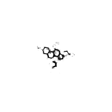 BO[C@H]1CC[C@@]2(C)C(=C[C@@H](c3ccc(C)o3)[C@]3(B)C2[C@H](OB)C[C@]2(C)[C@]4(CCC(=O)O4)CC[C@]23B)C1